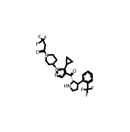 O=C(c1cnn(C2CCN(C(=O)CC(F)(F)F)CC2)c1C1CC1)[C@H]1NCCC1c1ccccc1C(F)(F)F